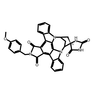 COc1ccc(CN2C(=O)c3c(c4c5ccccc5n5c4c4c3c3ccccc3n4C3CC5[C@]4(C3)NC(=O)NC4=O)C2=O)cc1